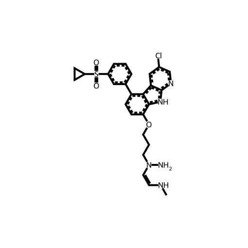 CN/C=C\N(N)CCCOc1ccc(-c2cccc(S(=O)(=O)C3CC3)c2)c2c1[nH]c1ncc(Cl)cc12